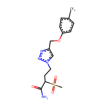 CS(=O)(=O)C(CCn1cc(COc2ccc(C(F)(F)F)cc2)nn1)C(N)=O